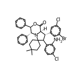 CC1(C)CCC2(CC1)C(c1ccc(Cl)cc1N)[C@@H](c1cc(Cl)cc(Br)c1)[C@@H]1C(=O)OC(c3ccccc3)[C@@H](c3ccccc3)N12